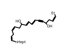 CC/C=C\CC(O)C#C/C=C/C=C/C(O)C/C=C\C/C=C\CCCCCCC